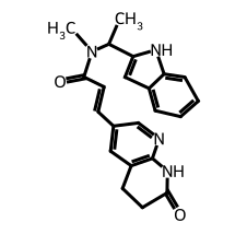 CC(c1cc2ccccc2[nH]1)N(C)C(=O)C=Cc1cnc2c(c1)CCC(=O)N2